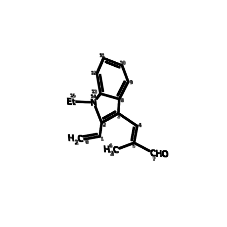 C=Cc1c(/C=C(\C)C=O)c2ccccc2n1CC